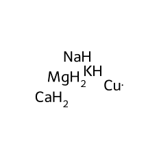 [CaH2].[Cu].[KH].[MgH2].[NaH]